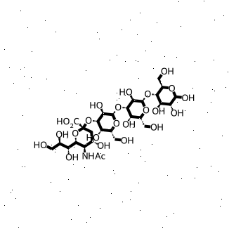 CC(=O)N[C@H]1[C@H]([C@H](O)[C@H](O)CO)O[C@@](O[C@H]2[C@@H](O)[C@@H](CO)O[C@@H](O[C@H]3[C@@H](O)[C@@H](CO)O[C@@H](O[C@H]4[C@H](O)[C@@H](O)C(O)O[C@@H]4CO)[C@@H]3O)[C@@H]2O)(C(=O)O)C[C@@H]1O